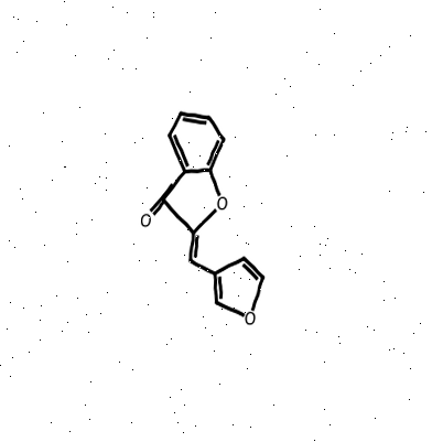 O=C1/C(=C/c2ccoc2)Oc2ccccc21